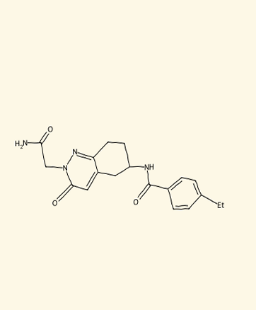 CCc1ccc(C(=O)NC2CCc3nn(CC(N)=O)c(=O)cc3C2)cc1